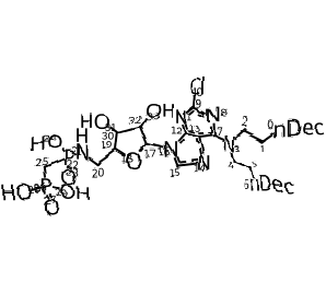 CCCCCCCCCCCCN(CCCCCCCCCCCC)c1nc(Cl)nc2c1ncn2C1OC(CNP(=O)(O)CP(=O)(O)O)C(O)C1O